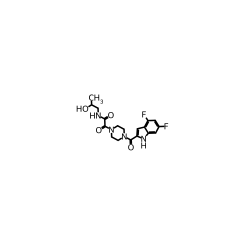 CC(O)CNC(=O)C(=O)N1CCN(C(=O)c2cc3c(F)cc(F)cc3[nH]2)CC1